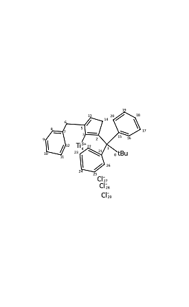 CC(C)(C)C(C1=[C]([Ti+3])C(Cc2ccccc2)=CC1)(c1ccccc1)c1ccccc1.[Cl-].[Cl-].[Cl-]